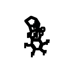 NC(=O)N1C2CCC1CC(Oc1c(F)c(F)c(F)c(F)c1F)C2